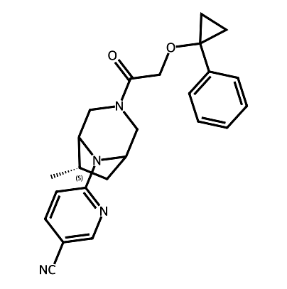 C[C@H]1CC2CN(C(=O)COC3(c4ccccc4)CC3)CC1N2c1ccc(C#N)cn1